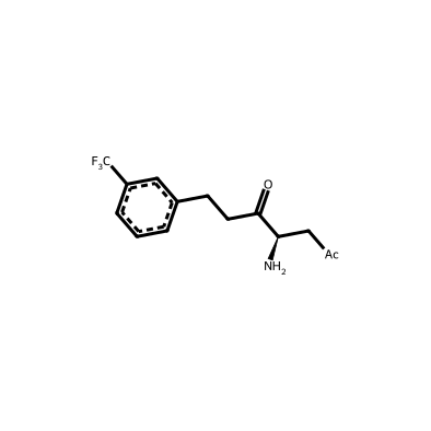 CC(=O)C[C@@H](N)C(=O)CCc1cccc(C(F)(F)F)c1